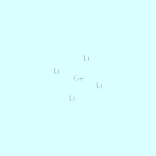 [Li][Ge]([Li])([Li])[Li]